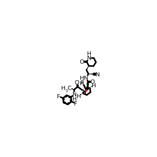 C[C@H](Nc1cc(F)ccc1F)C(=O)N1[C@@H]2CC[C@H]([C@@H]1C(=O)N[C@H](C#N)C[C@@H]1CCCNC1=O)C(F)(F)C2